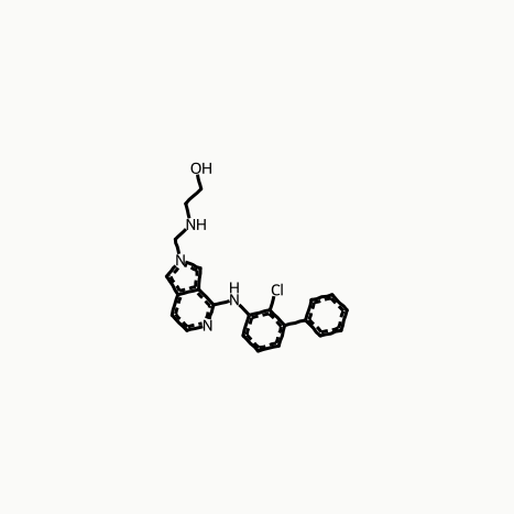 OCCNCn1cc2ccnc(Nc3cccc(-c4ccccc4)c3Cl)c2c1